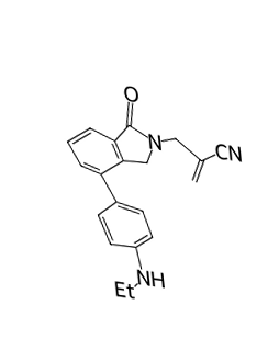 C=C(C#N)CN1Cc2c(cccc2-c2ccc(NCC)cc2)C1=O